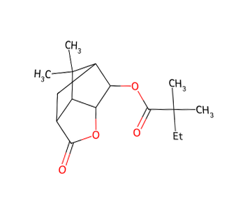 CCC(C)(C)C(=O)OC1C2OC(=O)C3CC1C(C)(C)C32